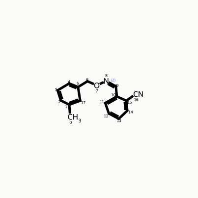 Cc1cccc(CO/N=[C]\c2ccccc2C#N)c1